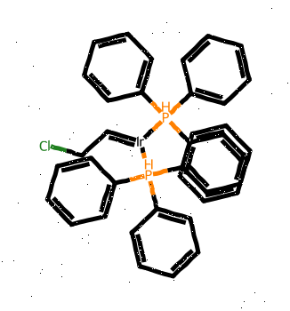 ClC[CH]=[Ir]([PH](c1ccccc1)(c1ccccc1)c1ccccc1)[PH](c1ccccc1)(c1ccccc1)c1ccccc1